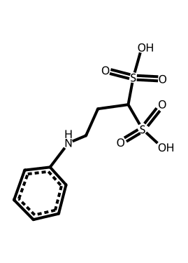 O=S(=O)(O)C(CCNc1ccccc1)S(=O)(=O)O